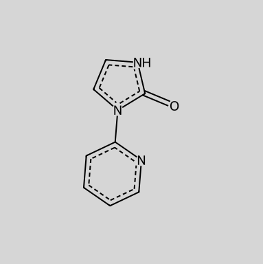 O=c1[nH]ccn1-c1ccccn1